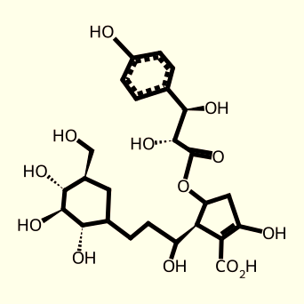 O=C(O)C1=C(O)CC(OC(=O)[C@H](O)[C@H](O)c2ccc(O)cc2)[C@@H]1C(O)CCC1C[C@H](CO)[C@@H](O)[C@H](O)[C@H]1O